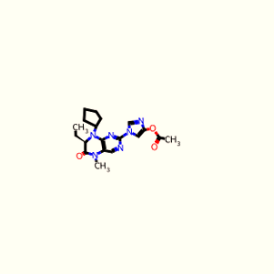 CC[C@@H]1C(=O)N(C)c2cnc(-n3cnc(OC(C)=O)c3)nc2N1C1CCCC1